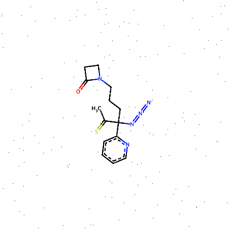 CC(=S)C(CCCN1CCC1=O)(N=[N+]=[N-])c1ccccn1